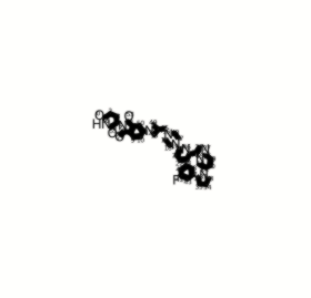 O=C1CCC(N2C(=O)c3ccc(N4CC(CN5CCN(c6cccc(-c7cnc8ccc(N9CCC[C@@H]9c9cccc(F)c9)cn78)n6)CC5)C4)cc3C2=O)C(=O)N1